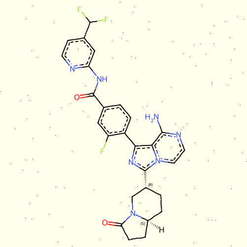 Nc1nccn2c([C@@H]3CC[C@H]4CCC(=O)N4C3)nc(-c3ccc(C(=O)Nc4cc(C(F)F)ccn4)cc3F)c12